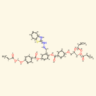 C=CC(=O)OCOc1ccc(C(=O)Oc2ccc(OC(=O)c3ccc(OCC(COC(=O)C=C)OC(=O)C=C)cc3)c(/C=N/Nc3nc4ccccc4s3)c2)cc1